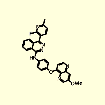 COc1cnc2c(Oc3ccc(Nc4nnc(-c5ccc(C)nc5F)c5ccccc45)cc3)ccnc2c1